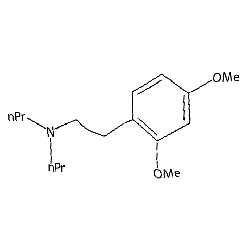 CCCN(CCC)CCc1ccc(OC)cc1OC